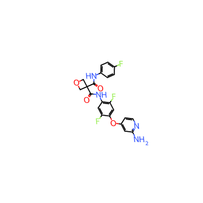 Nc1cc(Oc2cc(F)c(NC(=O)C3(C(=O)Nc4ccc(F)cc4)COC3)cc2F)ccn1